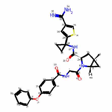 C[C@@]12C[C@@H]1N(C(=O)CNC(=O)c1ccc(Oc3ccccc3)cc1)[C@H](C(=O)NC1(c3cc(C(=N)N)cs3)CC1)C2